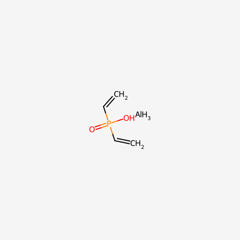 C=CP(=O)(O)C=C.[AlH3]